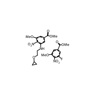 COC(=O)c1cc(F)c([N+](=O)[O-])c(OC)c1.COC(=O)c1cc(NCCOC2CC2)c([N+](=O)[O-])c(OC)c1